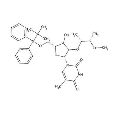 CO[C@@H](C)[C@@H](C)OC1C(O)[C@@H](CO[Si](c2ccccc2)(c2ccccc2)C(C)(C)C)O[C@H]1n1cc(C)c(=O)[nH]c1=O